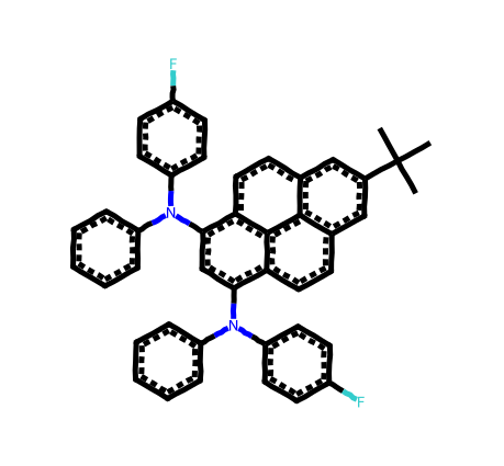 CC(C)(C)c1cc2ccc3c(N(c4ccccc4)c4ccc(F)cc4)cc(N(c4ccccc4)c4ccc(F)cc4)c4ccc(c1)c2c34